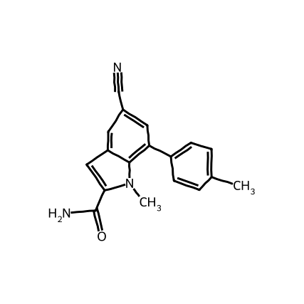 Cc1ccc(-c2cc(C#N)cc3cc(C(N)=O)n(C)c23)cc1